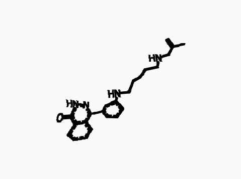 C=C(C)CNCCCCCNc1cccc(-c2n[nH]c(=O)c3ccccc23)c1